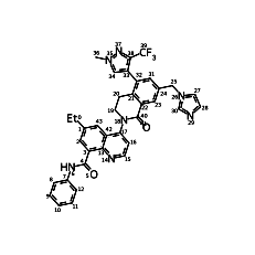 CCc1cc(C(=O)Nc2ccccc2)c2nccc(N3CCc4c(cc(Cn5ccnc5)cc4-c4cn(C)nc4C(F)(F)F)C3=O)c2c1